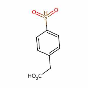 O=C(O)Cc1ccc([SH](=O)=O)cc1